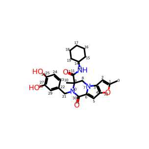 Cc1cc2c(cc3n2CC(C)(C(=O)NC2CCCCC2)N(Cc2ccc(O)c(O)c2)C3=O)o1